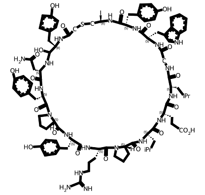 CC(C)C[C@@H]1NC(=O)[C@H](CCC(=O)O)NC(=O)[C@H](CC(C)C)NC(=O)[C@@H]2CCCN2C(=O)[C@H](CCCNC(=N)N)NC(=O)[C@H](Cc2ccc(O)cc2)NC(=O)[C@@H]2CCCN2C(=O)[C@H](Cc2ccc(O)cc2)NC(=O)[C@H](CC(N)=O)NC(O)[C@@H](Cc2ccc(O)cc2)NC(=O)CSC[C@@H](I)NC(=O)[C@H](Cc2ccc(O)cc2)NC(=O)[C@H](Cc2c[nH]c3ccccc23)NC(=O)CNC1=O